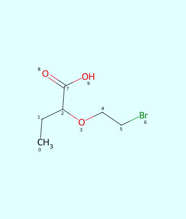 CCC(OCCBr)C(=O)O